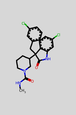 CNC(=O)N1CCCC(C2(Cc3cccc(Cl)c3)C(=O)Nc3cc(Cl)ccc32)C1